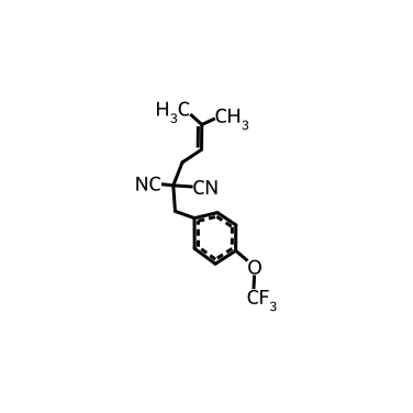 CC(C)=CCC(C#N)(C#N)Cc1ccc(OC(F)(F)F)cc1